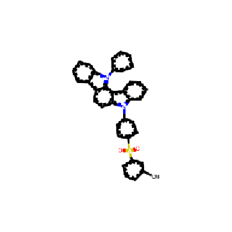 N#Cc1cccc(S(=O)(=O)c2ccc(-n3c4ccccc4c4c3ccc3c5ccccc5n(-c5ccccc5)c34)cc2)c1